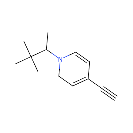 C#CC1=CCN(C(C)C(C)(C)C)C=C1